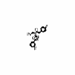 CC(C)CN(C(=O)Cc1ccc(F)cc1)c1nnc(-c2cccc(F)c2)o1